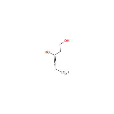 O=C(O)C=C=C(O)CCO